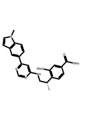 CNC(=O)c1ccc([C@H](C)CNc2cc(-c3ccc4c(ccn4C)c3)ncn2)c(OC)c1